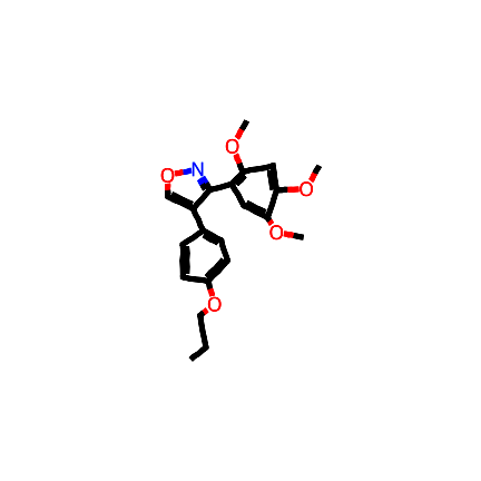 CCCOc1ccc(-c2conc2-c2cc(OC)c(OC)cc2OC)cc1